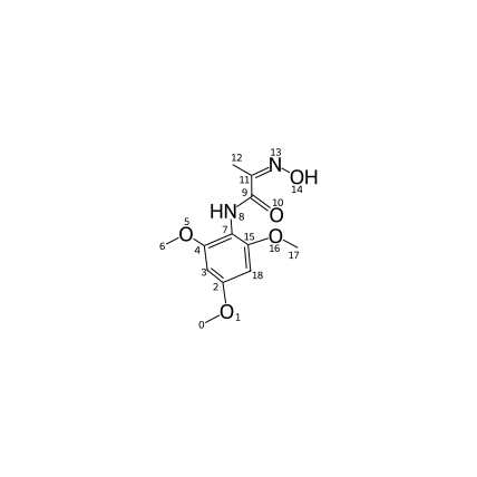 COc1cc(OC)c(NC(=O)/C(C)=N\O)c(OC)c1